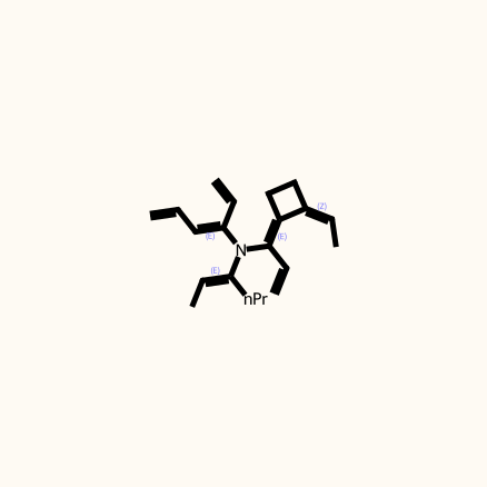 C=C/C=C(\C=C)N(/C(=C/C)CCC)/C(C=C)=C1\CC\C1=C\C